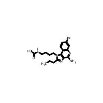 CCCc1nc2c(N)nc3cc(Br)ccc3c2n1CCCCNC(=O)O